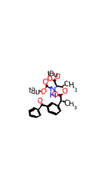 C[C@H](C(=O)O[C@H](C)[C@H](NC(=O)OC(C)(C)C)C(=O)OC(C)(C)C)c1cccc(C(=O)c2ccccc2)c1